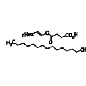 CCCCCCC=COC(=O)CCC(=O)O.CCCCCCCCCCCCCCC